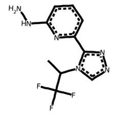 CC(n1cnnc1-c1cccc(NN)n1)C(F)(F)F